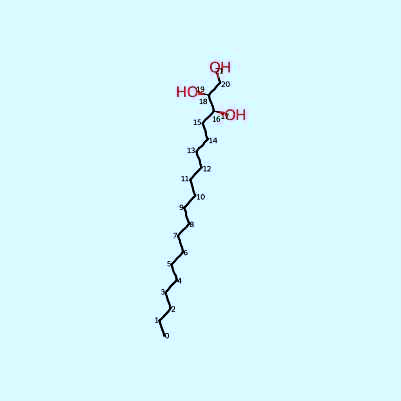 CCCCCCCCCCCCCCCC[C@H](O)[C@@H](O)CO